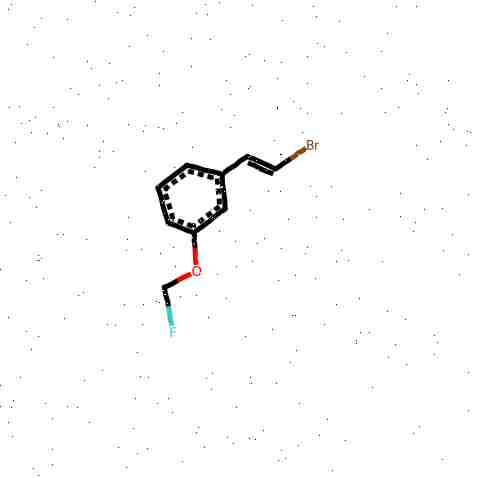 FCOc1cccc(/C=C/Br)c1